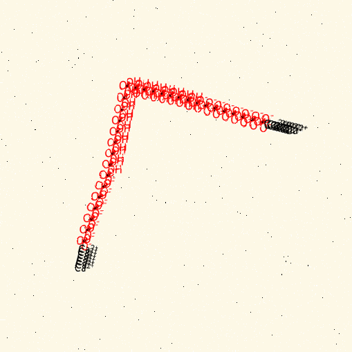 O=C(O)O.O=C(O)O.O=C(O)O.O=C(O)O.O=C(O)O.O=C(O)O.O=C(O)O.O=C(O)O.O=C(O)O.O=C(O)O.O=C(O)O.O=C(O)O.O=C(O)O.O=C(O)O.O=C(O)O.O=C([O-])[O-].O=C([O-])[O-].O=C([O-])[O-].O=C([O-])[O-].O=C([O-])[O-].O=C([O-])[O-].O=C([O-])[O-].O=C([O-])[O-].O=C([O-])[O-].O=C([O-])[O-].O=C([O-])[O-].O=C([O-])[O-].O=C([O-])[O-].O=C([O-])[O-].O=C([O-])[O-].[Ca+2].[Ca+2].[Ca+2].[Ca+2].[Ca+2].[Ca+2].[Ca+2].[Ca+2].[Ca+2].[Ca+2].[Ca+2].[Ca+2].[Ca+2].[Ca+2].[Ca+2]